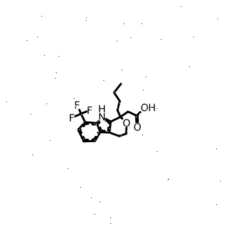 CCCCC1(CC(=O)O)OCCc2c1[nH]c1c(C(F)(F)F)cccc21